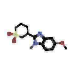 COc1ccc2c(c1)nc(C1CCCS(=O)(=O)C1)n2C